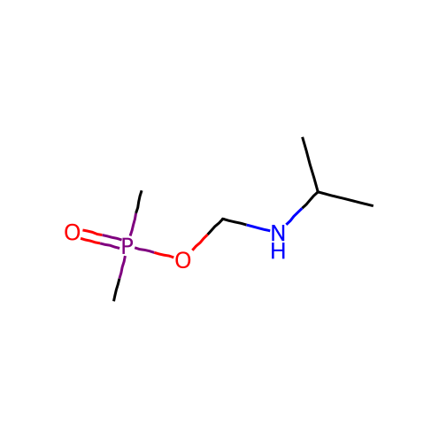 CC(C)NCOP(C)(C)=O